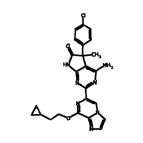 CC1(c2ccc(Cl)cc2)C(=O)Nc2nc(-c3cn4ccnc4c(OCCC4CC4)n3)nc(N)c21